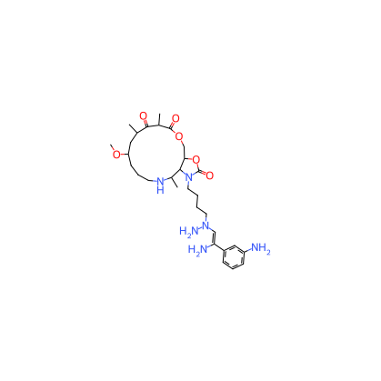 COC1CCCNC(C)C2C(COC(=O)C(C)C(=O)C(C)C1)OC(=O)N2CCCCN(N)/C=C(\N)c1cccc(N)c1